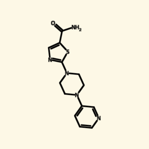 NC(=O)c1cnc(N2CCN(c3cccnc3)CC2)s1